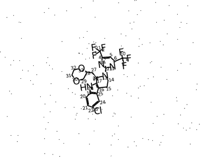 FC(F)(F)c1cc(C(F)(F)F)nc(N2CCc3c([nH]c4ccc(Cl)cc34)[C@H]2CC2COCCO2)n1